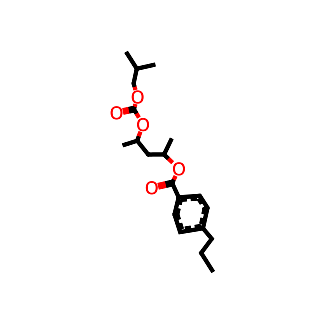 CCCc1ccc(C(=O)OC(C)CC(C)OC(=O)OCC(C)C)cc1